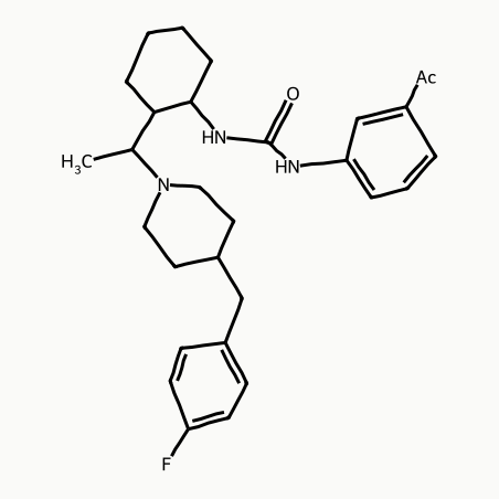 CC(=O)c1cccc(NC(=O)NC2CCCCC2C(C)N2CCC(Cc3ccc(F)cc3)CC2)c1